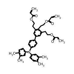 C=CC(=O)OCCc1cc(-c2ccc(N(c3ccc(C)c(C)c3)c3ccc(C)c(C)c3)cc2)cc(CCOC(=O)C=C)c1CCOC(=O)C=C